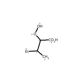 CCC(C)C(OO)C(=O)O